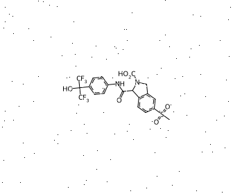 CS(=O)(=O)c1ccc2c(c1)CN(C(=O)O)C2C(=O)Nc1ccc(C(O)(C(F)(F)F)C(F)(F)F)cc1